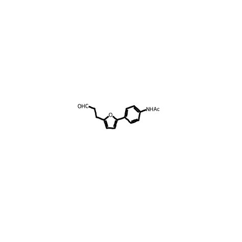 CC(=O)Nc1ccc(-c2ccc(CCC=O)o2)cc1